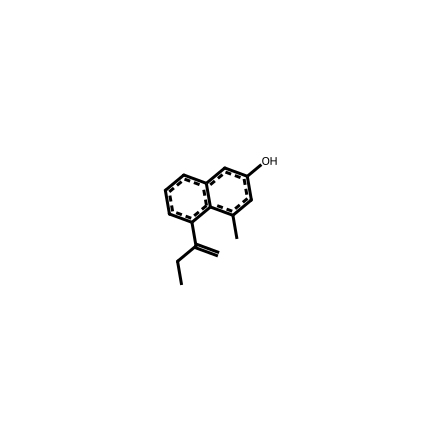 C=C(CC)c1cccc2cc(O)cc(C)c12